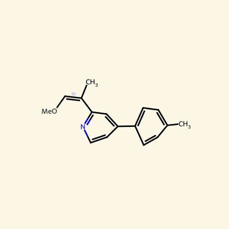 CO/C=C(/C)c1cc(-c2ccc(C)cc2)ccn1